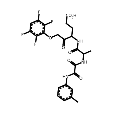 Cc1cccc(NC(=O)C(=O)NC(C)C(=O)NC(CCC(=O)O)C(=O)COc2c(F)c(F)cc(F)c2F)c1